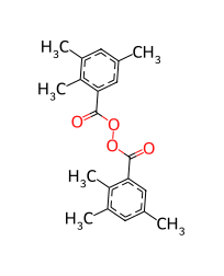 Cc1cc(C)c(C)c(C(=O)OOC(=O)c2cc(C)cc(C)c2C)c1